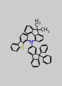 CC1(C)c2ccccc2-c2c(N(c3ccc4c(c3)C(c3ccccc3)(c3ccccc3)c3ccccc3-4)c3cccc4c3sc3ccccc34)cccc21